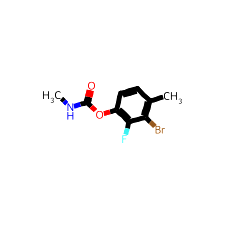 CNC(=O)Oc1ccc(C)c(Br)c1F